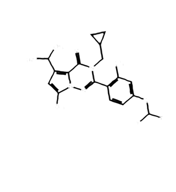 Cc1cc(OC(F)F)ccc1-c1nn2c(C)cc(C(C)C)c2c(=O)n1CC1CC1